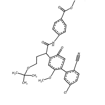 CCOC(=O)c1ccc(NC(=O)C(CCOC(C)(C)C)n2cc(OC)c(-c3cc(Cl)ccc3C#N)cc2=O)cc1